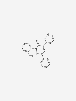 N#Cc1ccccc1-n1nc(-c2ccccn2)cc(-c2cccnc2)c1=O